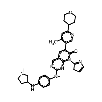 Cc1cc(C2CCOCC2)ncc1-c1cc2cnc(Nc3ccc(NC4CCNC4)cc3)nc2n(C2=NC=CC2)c1=O